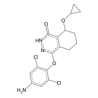 Nc1cc(Cl)c(Oc2n[nH]c(=O)c3c2CCCC3OC2CC2)c(Cl)c1